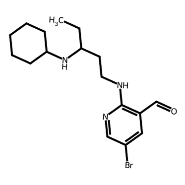 CCC(CCNc1ncc(Br)cc1C=O)NC1CCCCC1